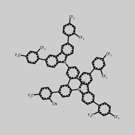 N#Cc1cc(C(F)(F)F)ccc1-c1ccc(-n2c3ccc(-c4ccc(C(F)(F)F)cc4C(F)(F)F)cc3c3cc(-c4ccc(C(F)(F)F)cc4C(F)(F)F)ccc32)c(-c2cc(-n3c4ccc(-c5ccc(C(F)(F)F)cc5C(F)(F)F)cc4c4cc(-c5ccc(C(F)(F)F)cc5C(F)(F)F)ccc43)ccc2C#N)c1